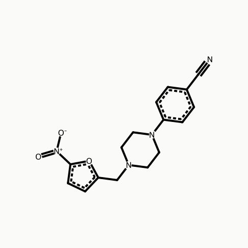 N#Cc1ccc(N2CCN(Cc3ccc([N+](=O)[O-])o3)CC2)cc1